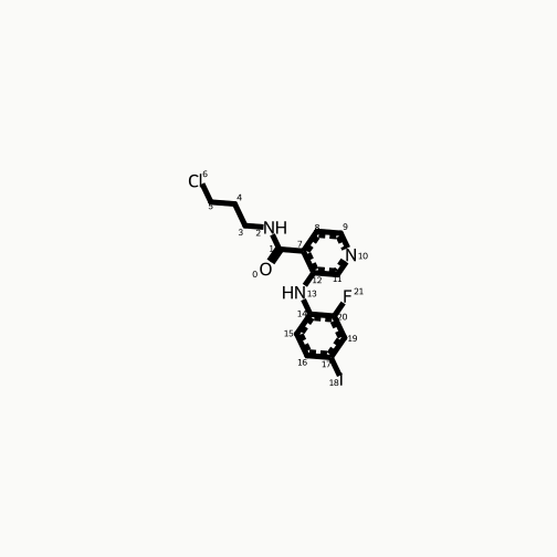 O=C(NCCCCl)c1ccncc1Nc1ccc(I)cc1F